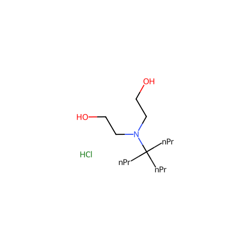 CCCC(CCC)(CCC)N(CCO)CCO.Cl